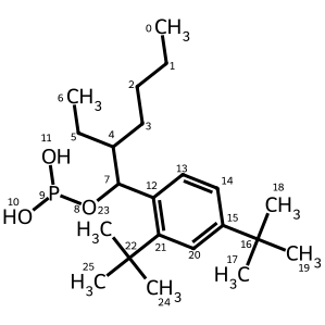 CCCCC(CC)C(OP(O)O)c1ccc(C(C)(C)C)cc1C(C)(C)C